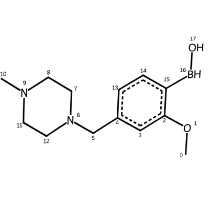 COc1cc(CN2CCN(C)CC2)ccc1BO